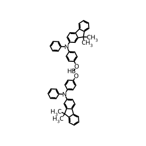 CC1(C)c2ccccc2-c2ccc(N(c3ccccc3)c3ccc(OBOc4ccc(N(c5ccccc5)c5ccc6c(c5)C(C)(C)c5ccccc5-6)cc4)cc3)cc21